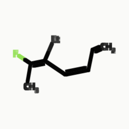 C=C/C=C\C(CC)=C(/C)F